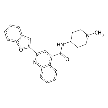 CN1CCC(NC(=O)c2cc(-c3cc4ccccc4o3)nc3ccccc23)CC1